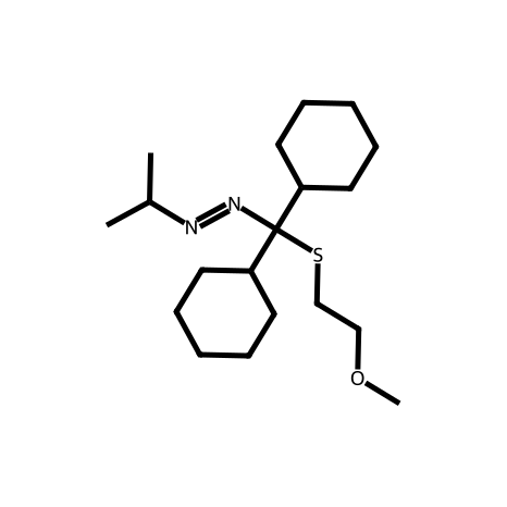 COCCSC(N=NC(C)C)(C1CCCCC1)C1CCCCC1